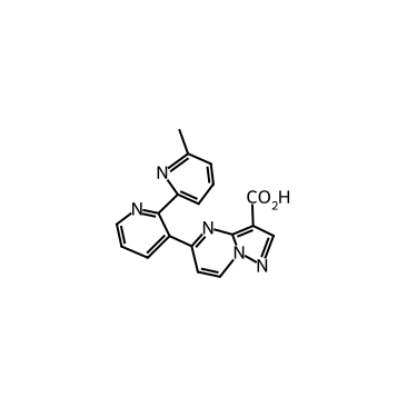 Cc1cccc(-c2ncccc2-c2ccn3ncc(C(=O)O)c3n2)n1